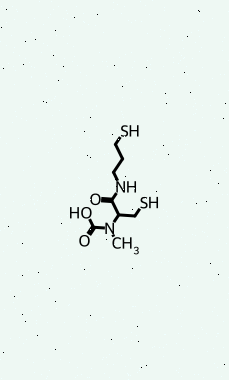 CN(C(=O)O)C(CS)C(=O)NCCCS